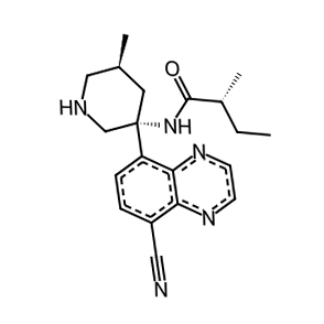 CC[C@@H](C)C(=O)N[C@]1(c2ccc(C#N)c3nccnc23)CNC[C@@H](C)C1